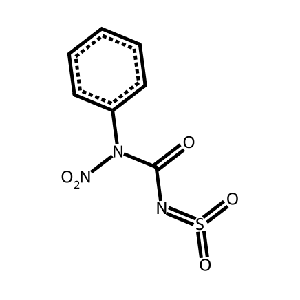 O=C(N=S(=O)=O)N(c1ccccc1)[N+](=O)[O-]